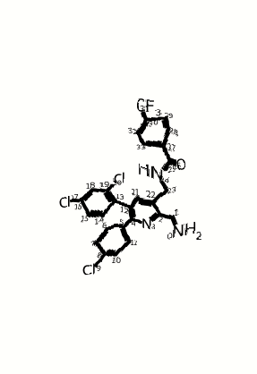 NCc1nc(-c2ccc(Cl)cc2)c(-c2ccc(Cl)cc2Cl)cc1CNC(=O)c1ccc(C(F)(F)F)cc1